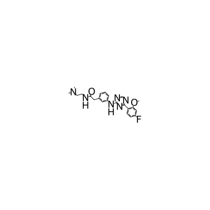 COc1cc(F)ccc1-c1ncnc(Nc2cccc(CC(=O)NCCN(C)C)c2)n1